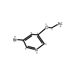 CC(=O)COc1cncc(Br)c1